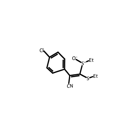 CCSC(=C(C#N)c1ccc(Cl)cc1)[S+]([O-])CC